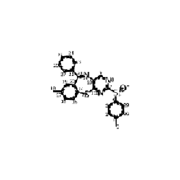 Cc1ccc([S+]([O-])c2ncc3c(n2)Sc2ccc(C)cc2C(c2ccccc2)=N3)cc1